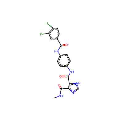 CNC(=O)c1nc[nH]c1C(=O)Nc1ccc(NC(=O)c2ccc(F)c(F)c2)cc1